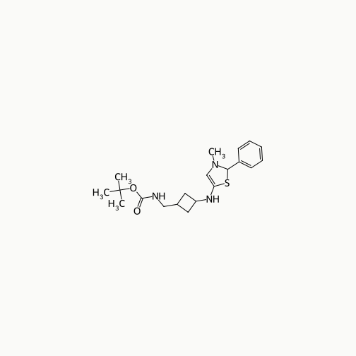 CN1C=C(NC2CC(CNC(=O)OC(C)(C)C)C2)SC1c1ccccc1